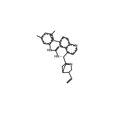 C=CC1CN2CCC1CC2[C@H](NC(=S)Nc1cc(C)cc(C)c1)c1ccnc2ccc(OC)cc12